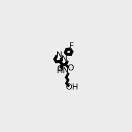 O=C(NCCCCO)c1cn(-c2ccc(F)cc2)c2ncccc2c1=O